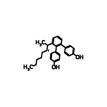 CCCCC[C]C(C)c1cccc(-c2ccc(O)cc2)c1-c1ccc(O)cc1